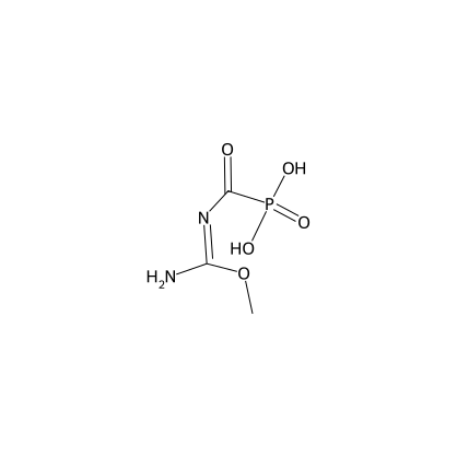 CO/C(N)=N\C(=O)P(=O)(O)O